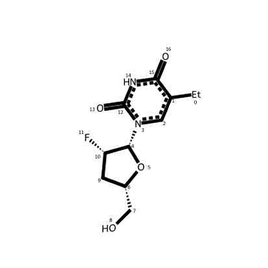 CCc1cn([C@@H]2O[C@H](CO)C[C@@H]2F)c(=O)[nH]c1=O